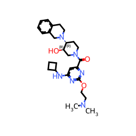 CN(C)CCOc1nc(NC2CCC2)cc(C(=O)N2CC[C@@H](N3CCc4ccccc4C3)[C@H](O)C2)n1